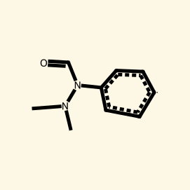 CN(C)N(C=O)c1cc[c]cc1